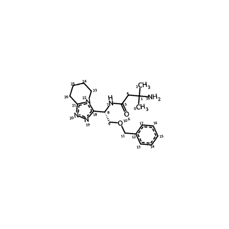 CC(C)(N)CC(=O)N[C@H](COCc1ccccc1)c1nnc2n1CCCC2